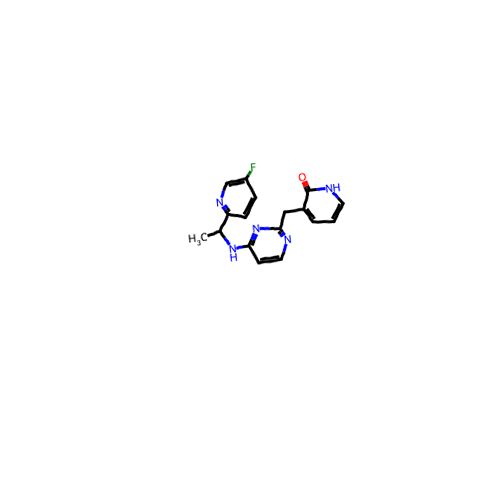 CC(Nc1ccnc(Cc2ccc[nH]c2=O)n1)c1ccc(F)cn1